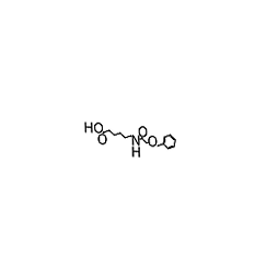 O=C(O)CCCCCNC(=O)COCc1ccccc1